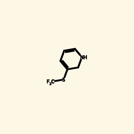 FC(F)(F)SC1=CC=CNC1